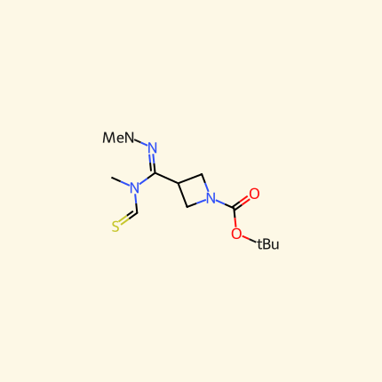 CN/N=C(/C1CN(C(=O)OC(C)(C)C)C1)N(C)C=S